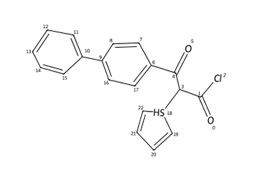 O=C(Cl)C(C(=O)c1ccc(-c2ccccc2)cc1)[SH]1C=CC=C1